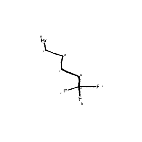 FC(F)(F)CCCCBr